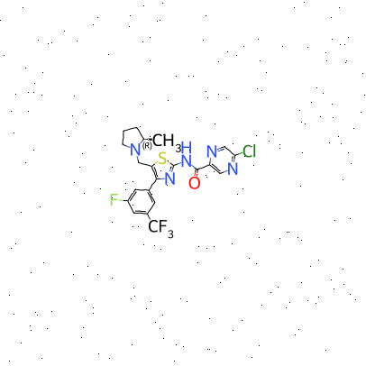 C[C@@H]1CCCN1Cc1sc(NC(=O)c2cnc(Cl)cn2)nc1-c1cc(F)cc(C(F)(F)F)c1